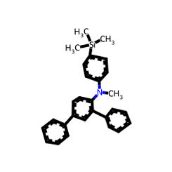 CN(c1ccc([Si](C)(C)C)cc1)c1ccc(-c2ccccc2)cc1-c1ccccc1